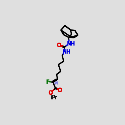 CC(C)OC(=O)/C(F)=C/CCCCCNC(=O)NC12CC3CC(CC(C3)C1)C2